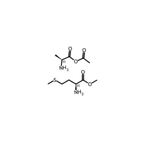 CC(=O)OC(=O)[C@H](C)N.COC(=O)[C@@H](N)CCSC